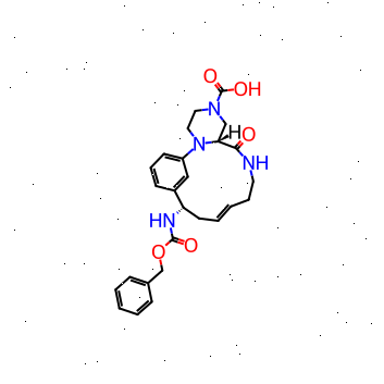 O=C(N[C@H]1C/C=C/CCNC(=O)[C@H]2CN(C(=O)O)CCN2c2cccc1c2)OCc1ccccc1